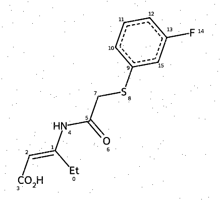 CC/C(=C\C(=O)O)NC(=O)CSc1cccc(F)c1